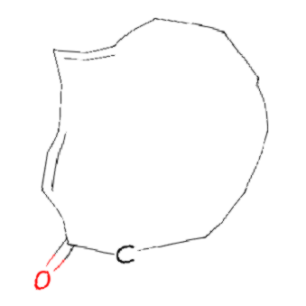 O=C1/C=C/C=C/CCCCCCC1